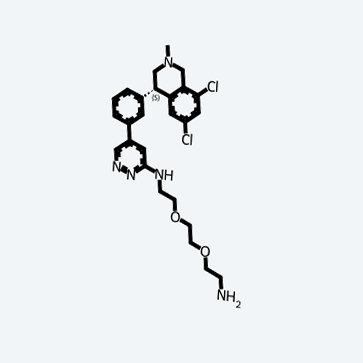 CN1Cc2c(Cl)cc(Cl)cc2[C@H](c2cccc(-c3cnnc(NCCOCCOCCN)c3)c2)C1